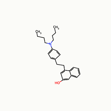 CCCCN(CCCC)c1ccc(CCc2cc(O)cc3ccccc23)cc1